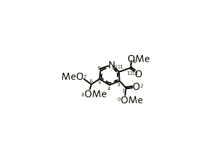 COC(=O)c1cc(C(OC)OC)cnc1C(=O)OC